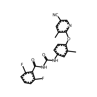 Cc1cc(NC(=O)NC(=O)c2c(F)cccc2F)ccc1Oc1ncc(C#N)cc1C